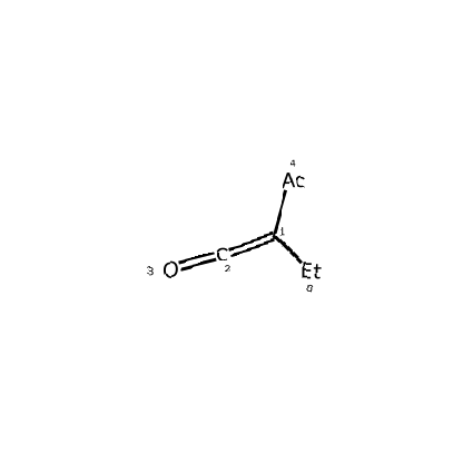 CCC(=C=O)C(C)=O